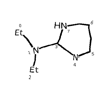 CCN(CC)C1[N]CCN1